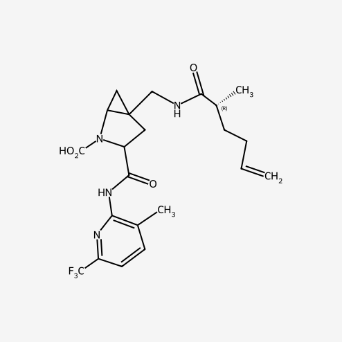 C=CCC[C@@H](C)C(=O)NCC12CC(C(=O)Nc3nc(C(F)(F)F)ccc3C)N(C(=O)O)C1C2